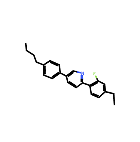 CCCCc1ccc(-c2ccc(-c3ccc(CC)cc3F)nc2)cc1